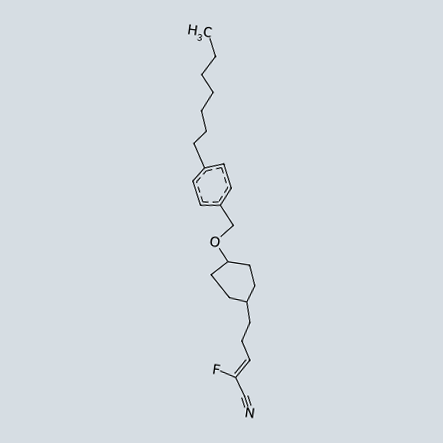 CCCCCCCc1ccc(COC2CCC(CCC=C(F)C#N)CC2)cc1